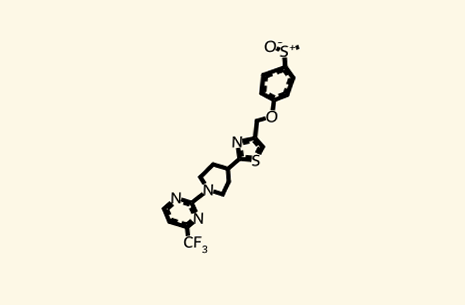 C[S+]([O-])c1ccc(OCc2csc(C3CCN(c4nccc(C(F)(F)F)n4)CC3)n2)cc1